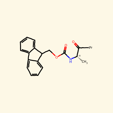 CC(C)C(=O)[C@H](C)NC(=O)OCC1c2ccccc2-c2ccccc21